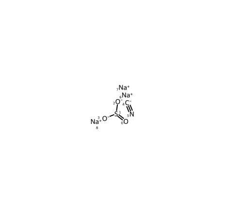 O=S([O-])[O-].[C-]#N.[Na+].[Na+].[Na+]